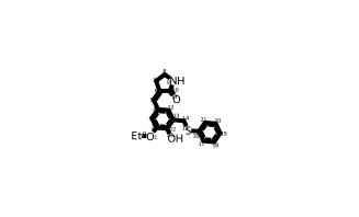 CCOc1cc(/C=C2/CCNC2=O)cc(CSc2ccccc2)c1O